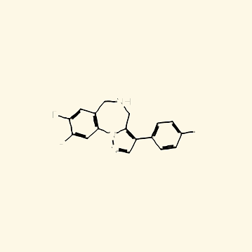 Fc1ccc(-c2cnn3c2CNCc2cc(F)c(F)cc2-3)cc1